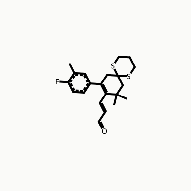 Cc1cc(C2=C(C=CC=O)C(C)(C)CC3(C2)SCCCS3)ccc1F